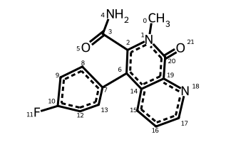 Cn1c(C(N)=O)c(-c2ccc(F)cc2)c2cccnc2c1=O